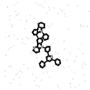 c1ccc(-c2cc(-c3ccccc3)nc(-c3cccc(-n4c5ccc(-c6cccc7c8ccccc8n(-c8ccccc8)c67)cc5c5ncccc54)c3)c2)cc1